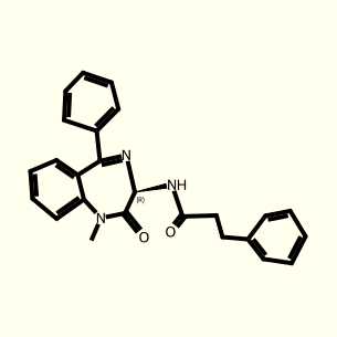 CN1C(=O)[C@H](NC(=O)CCc2ccccc2)N=C(c2ccccc2)c2ccccc21